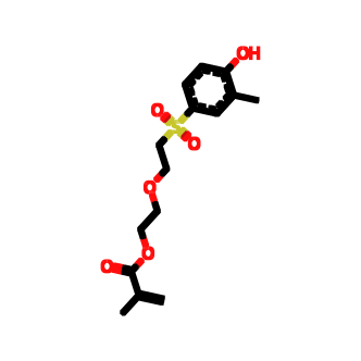 C=C(C)C(=O)OCCOCCS(=O)(=O)c1ccc(O)c(C)c1